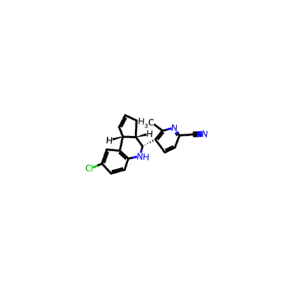 Cc1nc(C#N)ccc1[C@@H]1Nc2ccc(Cl)cc2[C@@H]2C=CC[C@@H]21